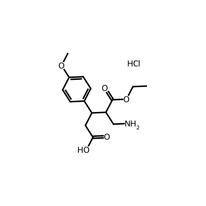 CCOC(=O)C(CN)C(CC(=O)O)c1ccc(OC)cc1.Cl